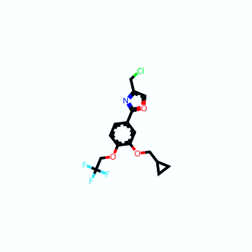 FC(F)(F)COc1ccc(-c2nc(CCl)co2)cc1OCC1CC1